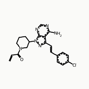 C=CC(=O)N1CCCC(n2nc(C=Cc3ccc(Cl)cc3)c3c(N)ncnc32)C1